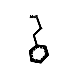 CS[CH]Cc1ccccc1